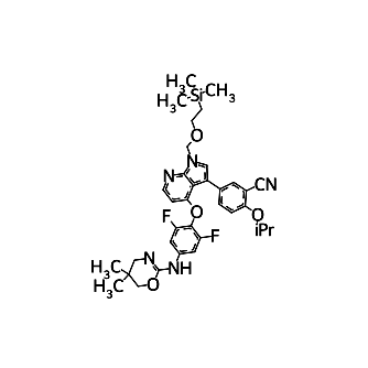 CC(C)Oc1ccc(-c2cn(COCC[Si](C)(C)C)c3nccc(Oc4c(F)cc(NC5=NCC(C)(C)CO5)cc4F)c23)cc1C#N